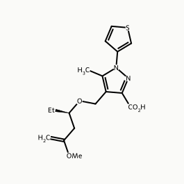 C=C(C[C@@H](CC)OCc1c(C(=O)O)nn(-c2ccsc2)c1C)OC